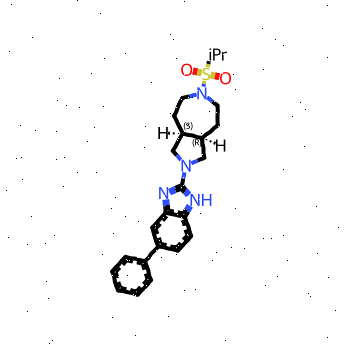 CC(C)S(=O)(=O)N1CC[C@@H]2CN(c3nc4cc(-c5ccccc5)ccc4[nH]3)C[C@@H]2CC1